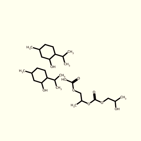 CC(O)COC(=O)OC(C)COC(=O)O.CC1CCC(C(C)C)C(O)C1.CC1CCC(C(C)C)C(O)C1